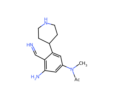 CC(=O)N(C)c1cc(N)c(C=N)c(C2CCNCC2)c1